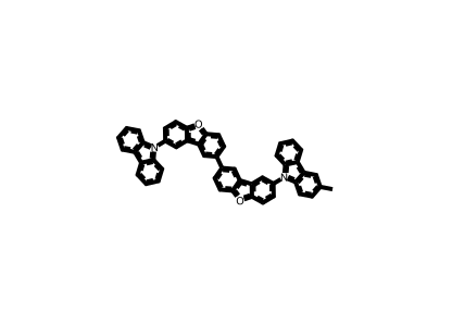 Cc1ccc2c(c1)c1ccccc1n2-c1ccc2oc3ccc(-c4ccc5oc6ccc(-n7c8ccccc8c8ccccc87)cc6c5c4)cc3c2c1